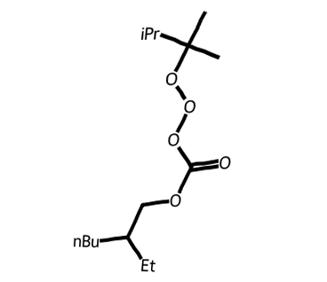 CCCCC(CC)COC(=O)OOOC(C)(C)C(C)C